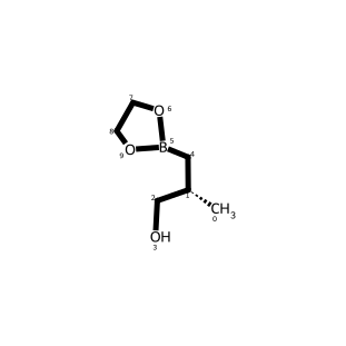 C[C@H](CO)CB1OCCO1